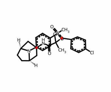 CC(C)(Oc1ccc(Cl)cc1)C(=O)N[C@H]1C[C@H]2CC[C@@H](C1)N2c1ccc(S(C)(=O)=O)cc1